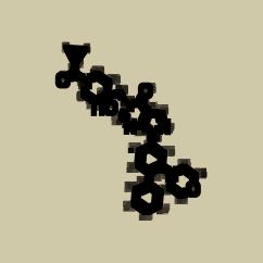 O=C(C1CC1)N1CCC(O)(Cn2cnc3c(cnn3-c3ccc(-c4ccccc4)c(N4CCOCC4)c3)c2=O)CC1